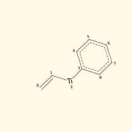 C=[CH][Ti][c]1ccccc1